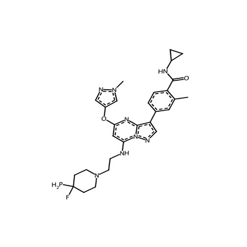 Cc1cc(-c2cnn3c(NCCN4CCC(F)(P)CC4)cc(Oc4cnn(C)c4)nc23)ccc1C(=O)NC1CC1